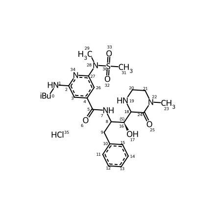 CCC(C)Nc1cc(C(=O)NC(Cc2ccccc2)[C@H](O)C2NCCN(C)C2=O)cc(N(C)S(C)(=O)=O)n1.Cl